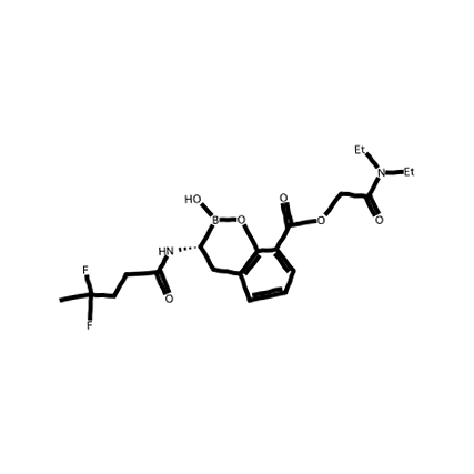 CCN(CC)C(=O)COC(=O)c1cccc2c1OB(O)[C@@H](NC(=O)CCC(C)(F)F)C2